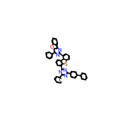 C1=CC2Sc3c(-c4nc(-c5ccccc5)nc(-c5ccc(-c6ccccc6)cc5)n4)cccc3C2C(c2nc(-c3ccccc3)c3oc4ccccc4c3n2)=C1